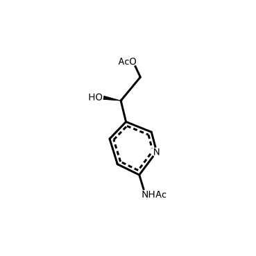 CC(=O)Nc1ccc([C@@H](O)COC(C)=O)cn1